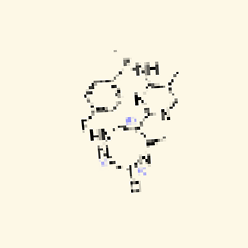 C=C1/N=C(Cl)\C=N/N/C=C\1c1ncc(C)c(N[C@@H](C)c2ccc(F)cc2)n1